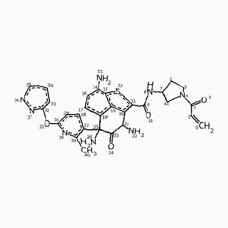 C=CC(=O)N1CCC(NC(=O)c2sc3c(N)ccc4c3c2C(N)C(=O)C4(N)c2ccc(Oc3cccnn3)nc2C)C1